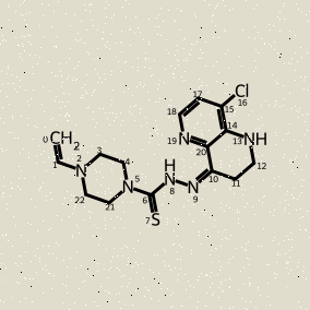 C=CN1CCN(C(=S)N/N=C2/CCNc3c(Cl)ccnc32)CC1